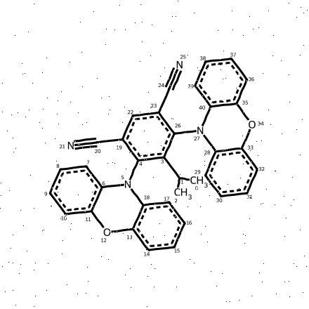 CC(C)c1c(N2c3ccccc3Oc3ccccc32)c(C#N)cc(C#N)c1N1c2ccccc2Oc2ccccc21